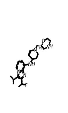 CC(C)c1c(C(C)F)nc2c(NC3CCN(C[C@@H]4CNCCO4)CC3)cccn12